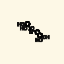 Oc1cc2ccc(-c3ncc(-c4cccc(O)c4O)o3)cc2cc1O